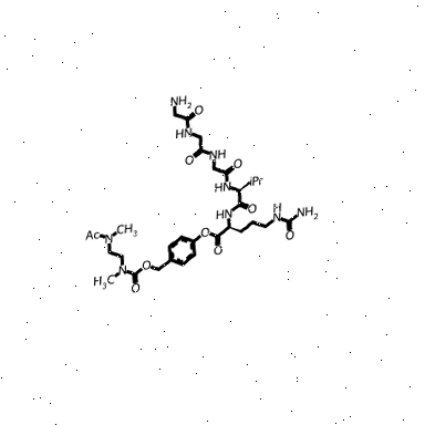 CC(=O)N(C)CCN(C)C(=O)OCc1ccc(OC(=O)[C@H](CCCNC(N)=O)NC(=O)[C@@H](NC(=O)CNC(=O)CNC(=O)CN)C(C)C)cc1